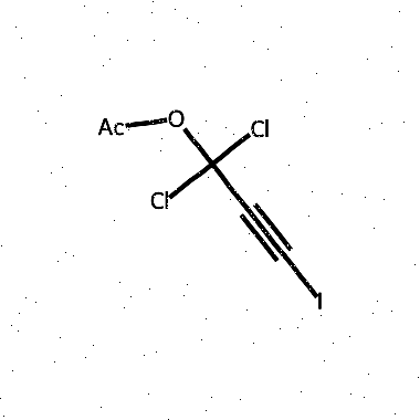 CC(=O)OC(Cl)(Cl)C#CI